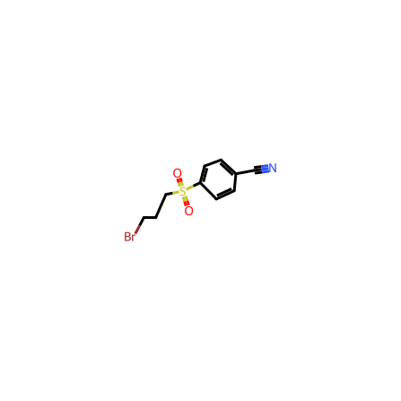 N#Cc1ccc(S(=O)(=O)CCCBr)cc1